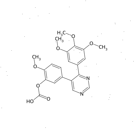 COc1ccc(-c2cncnc2-c2cc(OC)c(OC)c(OC)c2)cc1OC(=O)O